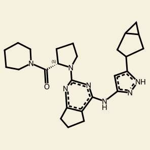 O=C([C@@H]1CCCN1c1nc2c(c(Nc3cc(C4CC5CC5C4)[nH]n3)n1)CCC2)N1CCCCC1